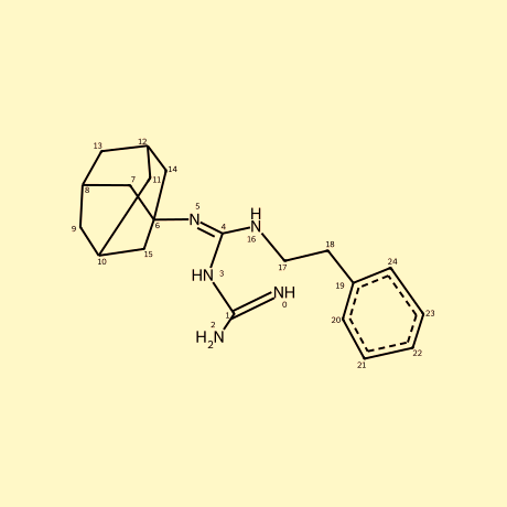 N=C(N)NC(=NC12CC3CC(CC(C3)C1)C2)NCCc1ccccc1